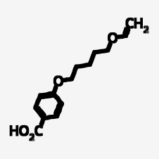 C=COCCCCCOc1ccc(C(=O)O)cc1